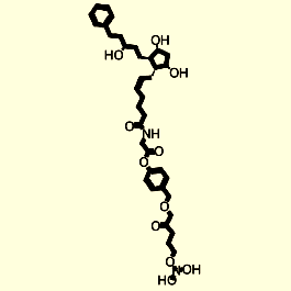 O=C(CCCON(O)O)COCc1ccc(OC(=O)CNC(=O)CCC/C=C\C[C@@H]2[C@@H](CC[C@@H](O)CCc3ccccc3)[C@H](O)C[C@@H]2O)cc1